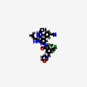 Cn1cnnc1-c1ccc(C#N)cc1-c1cc(NCCC2CC2)nc(N2Cc3c(cc(CN4CCCOC4)cc3C(F)(F)F)C2=O)c1